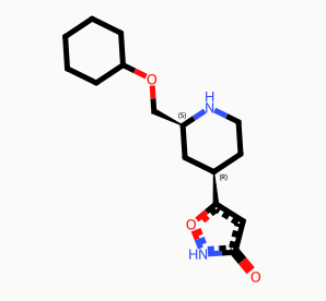 O=c1cc([C@@H]2CCN[C@H](COC3CCCCC3)C2)o[nH]1